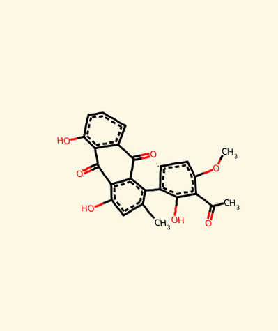 COc1c[c]c(-c2c(C)cc(O)c3c2C(=O)c2cccc(O)c2C3=O)c(O)c1C(C)=O